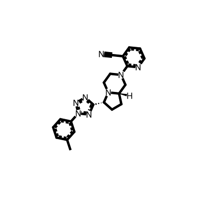 Cc1cccc(-n2nnc([C@H]3CC[C@H]4CN(c5ncccc5C#N)CCN43)n2)c1